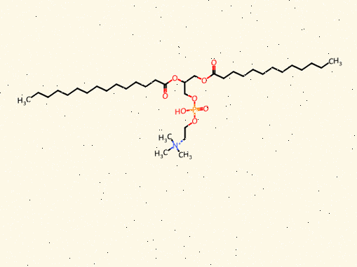 CCCCCCCCCCCCCCC(=O)OC(COC(=O)CCCCCCCCCCCC)COP(=O)(O)OCC[N+](C)(C)C